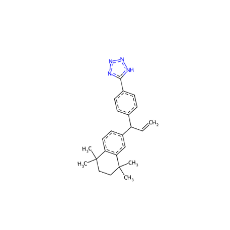 C=CC(c1ccc(-c2nnn[nH]2)cc1)c1ccc2c(c1)C(C)(C)CCC2(C)C